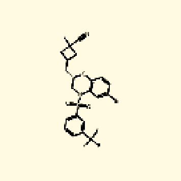 CC1(C#N)CC(C[C@H]2CN(S(=O)(=O)c3cccc(C(F)(F)F)c3)c3cc(Br)ccc3O2)C1